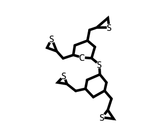 C1C(CC2CS2)CC(SC2CC(CC3CS3)CC(CC3CS3)C2)CC1CC1CS1